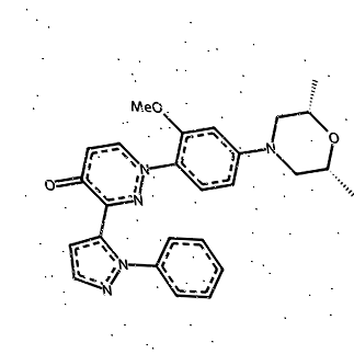 COc1cc(N2C[C@@H](C)O[C@@H](C)C2)ccc1-n1ccc(=O)c(-c2ccnn2-c2ccccc2)n1